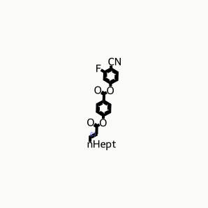 CCCCCCC/C=C/C(=O)Oc1ccc(C(=O)Oc2ccc(C#N)c(F)c2)cc1